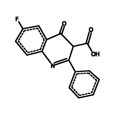 O=C(O)C1C(=O)c2cc(F)ccc2N=C1c1ccccc1